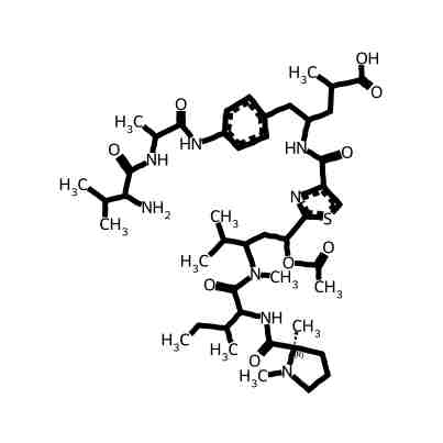 CCC(C)C(NC(=O)[C@@]1(C)CCCN1C)C(=O)N(C)C(CC(OC(C)=O)c1nc(C(=O)NC(Cc2ccc(NC(=O)C(C)NC(=O)C(N)C(C)C)cc2)CC(C)C(=O)O)cs1)C(C)C